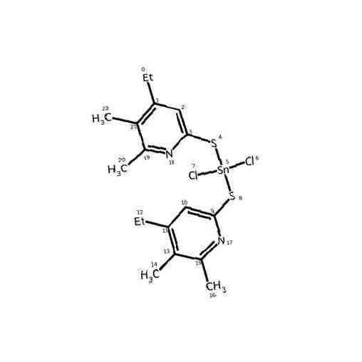 CCc1cc([S][Sn]([Cl])([Cl])[S]c2cc(CC)c(C)c(C)n2)nc(C)c1C